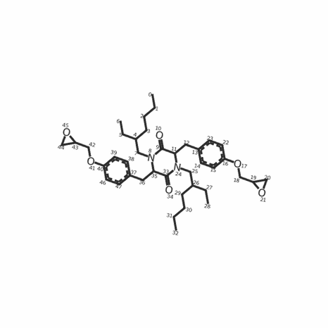 CCCCC(CC)CN1C(=O)C(Cc2ccc(OCC3CO3)cc2)N(CC(CC)CCCC)C(=O)C1Cc1ccc(OCC2CO2)cc1